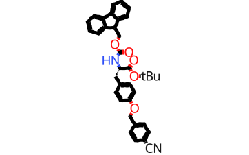 CC(C)(C)OC(=O)[C@H](Cc1ccc(OCc2ccc(C#N)cc2)cc1)NC(=O)OCC1c2ccccc2-c2ccccc21